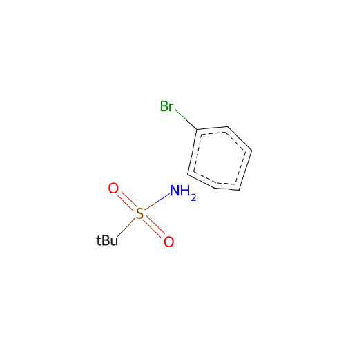 Brc1ccccc1.CC(C)(C)S(N)(=O)=O